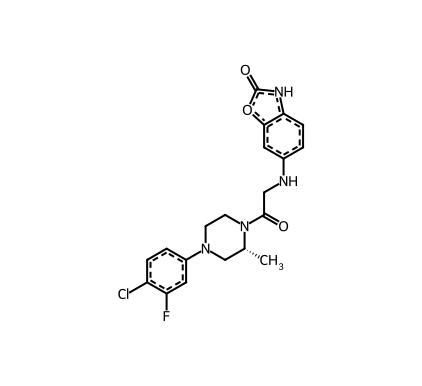 C[C@@H]1CN(c2ccc(Cl)c(F)c2)CCN1C(=O)CNc1ccc2[nH]c(=O)oc2c1